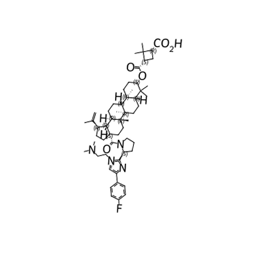 C=C(C)[C@@H]1CC[C@]2(C(=O)N3CCC[C@H]3c3nc(-c4ccc(F)cc4)cn3CCN(C)C)CC[C@]3(C)[C@H](CC[C@@H]4[C@@]5(C)CC[C@H](OC(=O)[C@H]6C[C@@H](C(=O)O)C6(C)C)C(C)(C)[C@@H]5CC[C@]43C)[C@@H]12